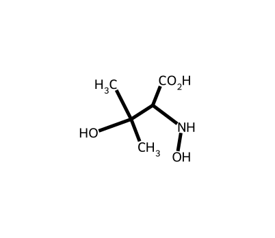 CC(C)(O)C(NO)C(=O)O